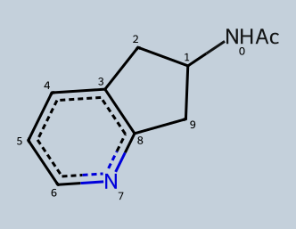 CC(=O)NC1Cc2cccnc2C1